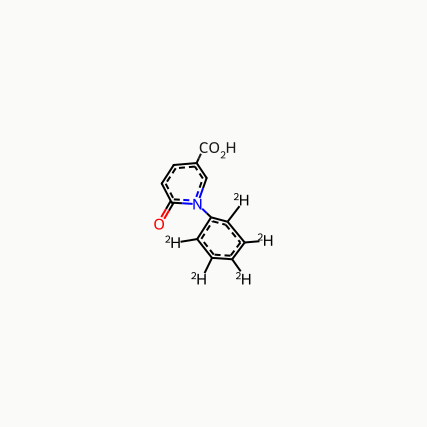 [2H]c1c([2H])c([2H])c(-n2cc(C(=O)O)ccc2=O)c([2H])c1[2H]